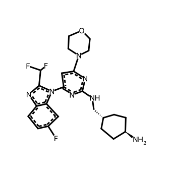 N[C@H]1CC[C@H](CNc2nc(N3CCOCC3)cc(-n3c(C(F)F)nc4ccc(F)cc43)n2)CC1